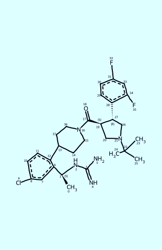 C[C@H](NC(=N)N)c1cc(Cl)ccc1C1CCN(C(=O)[C@@H]2CN(C(C)(C)C)C[C@H]2c2ccc(F)cc2F)CC1